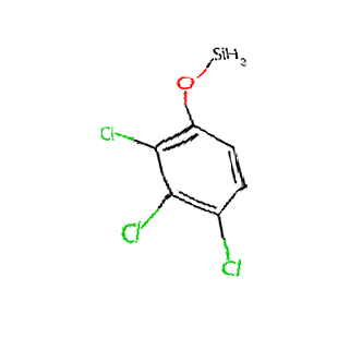 [SiH3]Oc1ccc(Cl)c(Cl)c1Cl